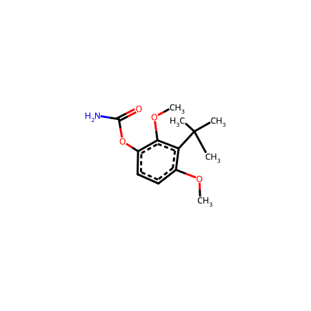 COc1ccc(OC(N)=O)c(OC)c1C(C)(C)C